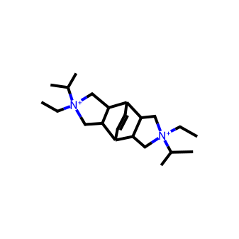 CC[N+]1(C(C)C)CC2C3C=CC(C2C1)C1C[N+](CC)(C(C)C)CC31